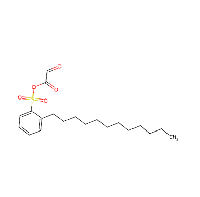 CCCCCCCCCCCCc1ccccc1S(=O)(=O)OC(=O)C=O